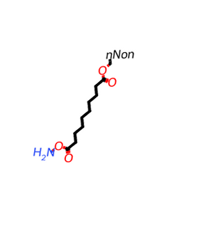 CCCCCCCCCCOC(=O)CCCCCCCCC(=O)ON